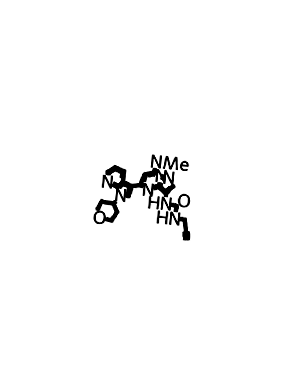 C#CCNC(=O)Nc1cnn2c(NC)cc(-c3cn(C4CCOCC4)c4ncccc34)nc12